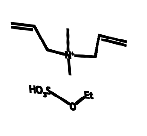 C=CC[N+](C)(C)CC=C.CCOS(=O)(=O)O